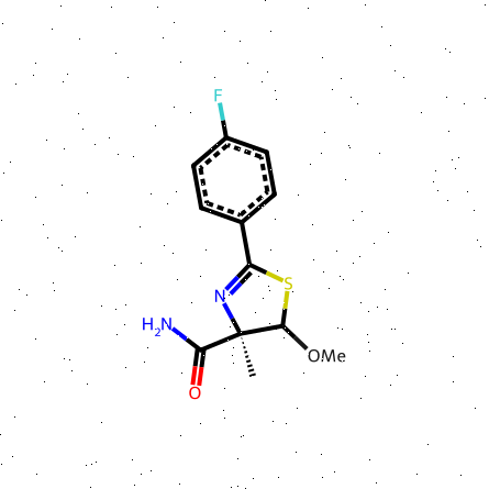 COC1SC(c2ccc(F)cc2)=N[C@]1(C)C(N)=O